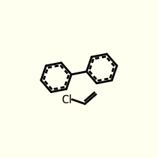 C=CCl.c1ccc(-c2ccccc2)cc1